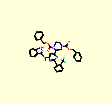 O=C(OCc1ccccc1)N1CCN(C(=O)OCc2ccccc2)C(c2cc(Nc3n[nH]c4ccccc34)nc(-c3ccccc3C(F)(F)F)n2)C1